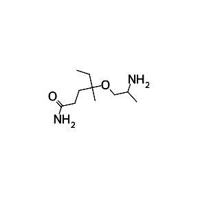 CCC(C)(CCC(N)=O)OCC(C)N